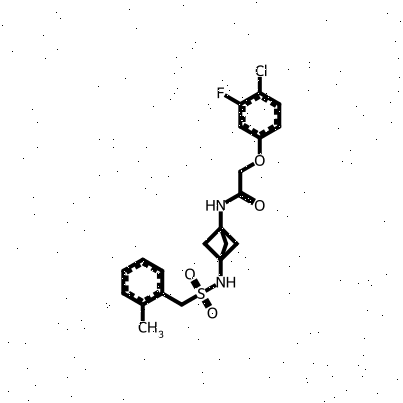 Cc1ccccc1CS(=O)(=O)NC12CC(NC(=O)COc3ccc(Cl)c(F)c3)(C1)C2